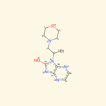 CCC(CN1CCOCC1)n1c(O)nc2nccnc21